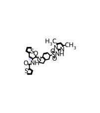 Cc1cc(C)nc(NS(=O)(=O)C2C=CC3=C(CCN3C(=O)/C(=C\c3cccs3)NC(=O)c3cccs3)C2)n1